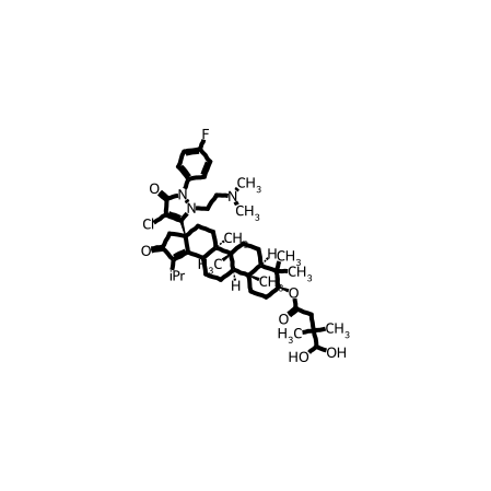 CC(C)C1=C2C3CC[C@@H]4[C@@]5(C)CC[C@H](OC(=O)CC(C)(C)C(O)O)C(C)(C)[C@@H]5CC[C@@]4(C)[C@]3(C)CC[C@@]2(c2c(Cl)c(=O)n(-c3ccc(F)cc3)n2CCN(C)C)CC1=O